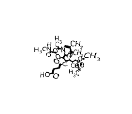 CCOP(=O)(C[C@H](C)[C@H]1O[C@@H](N(/C=C(/C)C(C)=O)C(C)=O)[C@H](OCC(=O)NC)[C@@H]1OC(=O)CCC(=O)O)OCC